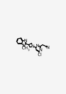 Cn1c(C2CN(c3cc(Cl)nc(CC#N)n3)C2)nc2ccccc21